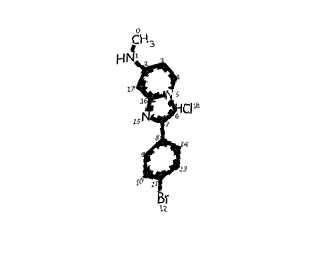 CNc1ccn2cc(-c3ccc(Br)cc3)nc2c1.Cl